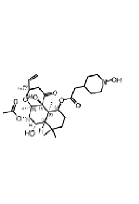 C=C[C@@]1(C)CC(=O)[C@]2(O)[C@@]3(C)[C@@H](OC(=O)CC4CCN(O)CC4)CCC(C)(C)[C@@H]3[C@H](O)[C@H](OC(C)=O)[C@@]2(C)O1